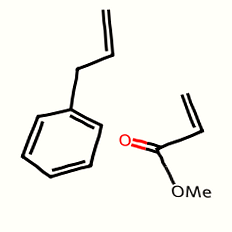 C=CC(=O)OC.C=CCc1ccccc1